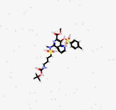 COC(=O)c1nc(N(C)S(=O)(=O)CCCCNC(=O)OC(C)(C)C)c2cccnc2c1OS(=O)(=O)c1ccc(C)cc1